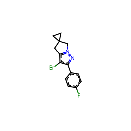 Fc1ccc(-c2nn3c(c2Br)CC2(CC2)C3)cc1